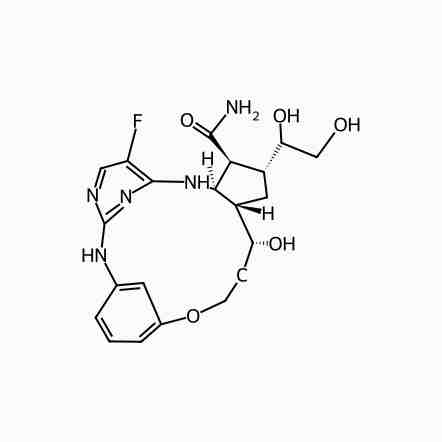 NC(=O)[C@@H]1[C@@H]2Nc3nc(ncc3F)Nc3cccc(c3)OCC[C@@H](O)[C@H]2C[C@H]1C(O)CO